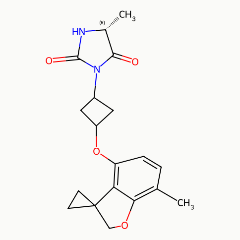 Cc1ccc(OC2CC(N3C(=O)N[C@H](C)C3=O)C2)c2c1OCC21CC1